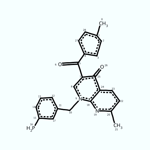 Cc1ccc(C(=O)c2cn(Cc3cccc(P)c3)c3nc(C)ccc3c2=O)cc1